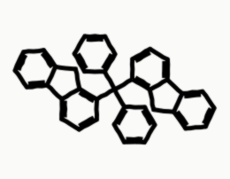 c1ccc(C(c2ccccc2)(c2cccc3c2Cc2ccccc2-3)c2cccc3c2Cc2ccccc2-3)cc1